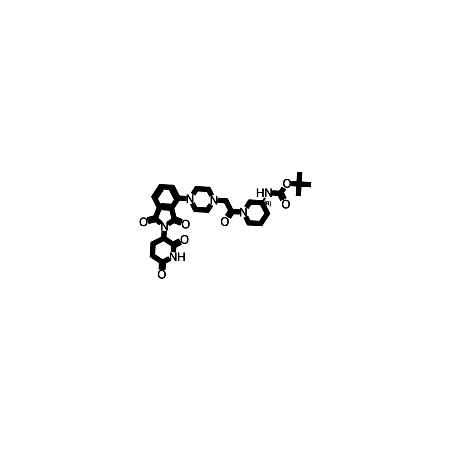 CC(C)(C)OC(=O)N[C@@H]1CCCN(C(=O)CN2CCN(c3cccc4c3C(=O)N(C3CCC(=O)NC3=O)C4=O)CC2)C1